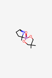 CC1(C)COP(=O)(C2(C)CCC=N2)OC1